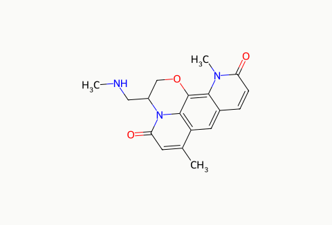 CNCC1COc2c3c(ccc(=O)n3C)cc3c(C)cc(=O)n1c23